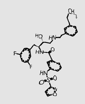 CCc1cccc(CNC[C@@H](O)[C@H](Cc2cc(F)cc(F)c2)NC(=O)c2cccc(NS(=O)(=O)c3ccon3)c2)c1